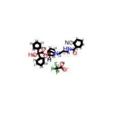 N#Cc1ccccc1C(=O)NCCC[N+]12CCC(CC1)[C@@H](OC(=O)C(O)(c1ccccc1)c1ccccc1)C2.O=C([O-])C(F)(F)F